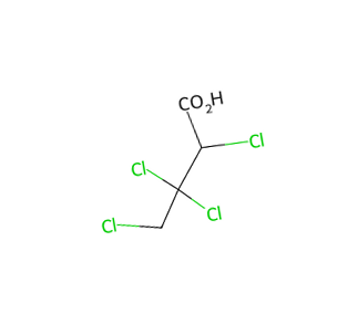 O=C(O)C(Cl)C(Cl)(Cl)CCl